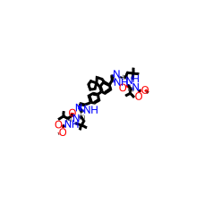 COC(=O)N[C@H](C(=O)N1CC(C)(C)C[C@H]1c1ncc(-c2ccc(-c3ccc(-c4cnc([C@@H]5CC(C)(C)CN5C(=O)[C@@H](NC(=O)OC)C(C)C)[nH]4)c4c3C3(CCCC3)CC4)cc2)[nH]1)C(C)C